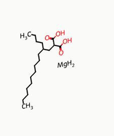 CCCCCCCCCCC(CCCC)CC(C(=O)O)C(=O)O.[MgH2]